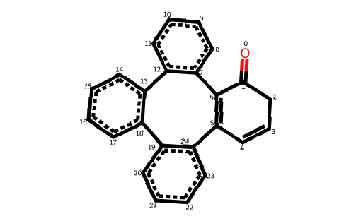 O=C1CC=CC2=C1c1ccccc1-c1ccccc1-c1ccccc12